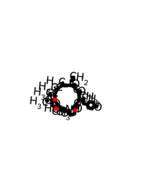 C=CC[C@@H]1/C=C(\C)C[C@H](C)C[C@H](OC)[C@H]2O[C@@](O)(C(=O)C(=O)N3CCCC[C@H]3C(=O)O[C@H](/C(C)=C/C3CCC(=O)CC3)[C@H](C)C(=O)CC1=O)[C@H](C)C[C@@H]2OC